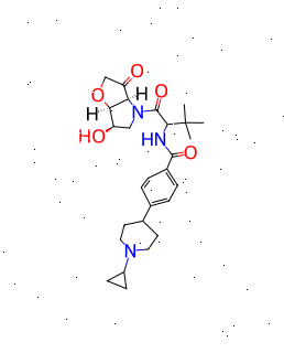 CC(C)(C)C(NC(=O)c1ccc(C2CCN(C3CC3)CC2)cc1)C(=O)N1C[C@@H](O)[C@H]2OCC(=O)[C@H]21